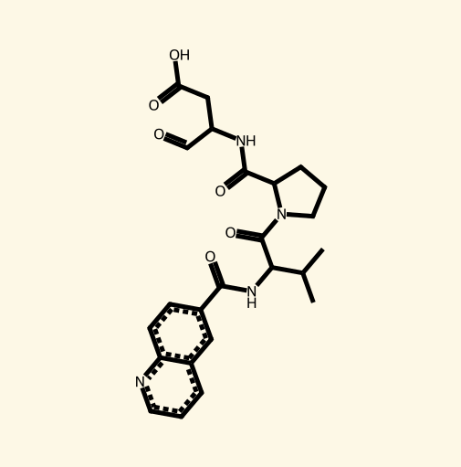 CC(C)C(NC(=O)c1ccc2ncccc2c1)C(=O)N1CCCC1C(=O)NC(C=O)CC(=O)O